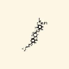 C=CCCOc1ccc(C2CCC(COc3ccc(C(O)CCC)c(F)c3F)CC2)c(F)c1F